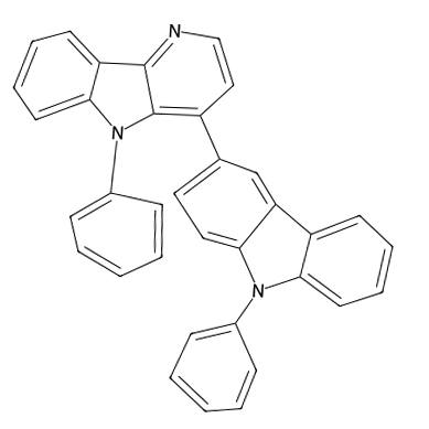 c1ccc(-n2c3ccccc3c3cc(-c4ccnc5c6ccccc6n(-c6ccccc6)c45)ccc32)cc1